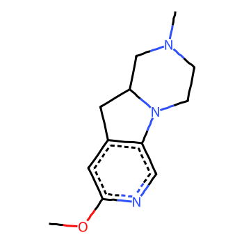 COc1cc2c(cn1)N1CCN(C)CC1C2